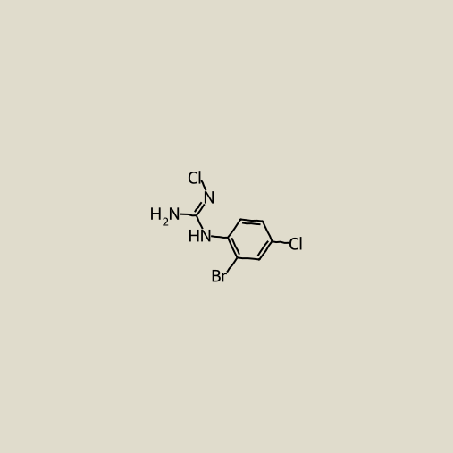 NC(=NCl)Nc1ccc(Cl)cc1Br